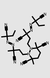 CCC(C)(C#N)N=NC(C)(C#N)CCN1N(CCC(C)(C#N)N=NC(C)(C#N)CC)C(C)(C#N)CCC1(C)C#N